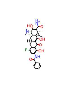 CC1[C@]2(C)C(C(N)=O)=C(O)[C@@H](N(C)C)[C@@H]3C[C@@H]4Cc5c(F)cc(NC(=O)c6ccccc6)c(O)c5C(=O)C4=C(O)[C@@]132